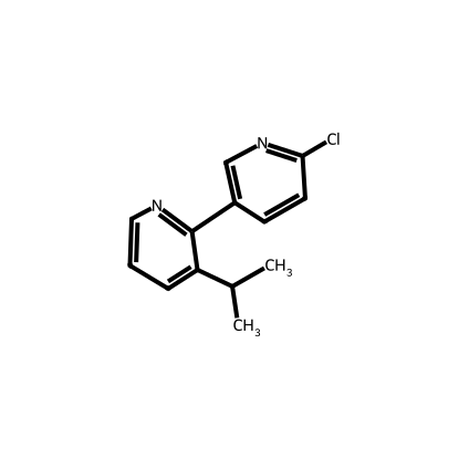 CC(C)c1cccnc1-c1ccc(Cl)nc1